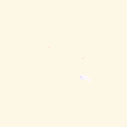 Nc1cc2c(cc1O)C(=O)CCC2